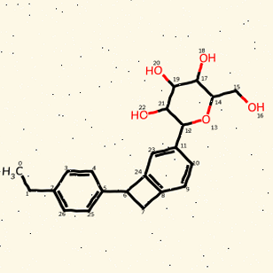 CCc1ccc(C2Cc3ccc(C4OC(CO)C(O)C(O)C4O)cc32)cc1